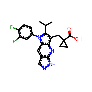 CC(C)c1c(CC2(C(=O)O)CC2)c2nc3[nH]ncc3cc2n1-c1ccc(F)c(F)c1